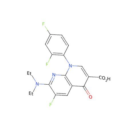 CCN(CC)c1nc2c(cc1F)c(=O)c(C(=O)O)cn2-c1ccc(F)cc1F